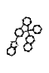 c1ccc(C2(c3ccc4ccccc4c3)c3ccccc3-c3ccc(-c4nc5ccccc5s4)cc32)cc1